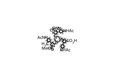 COC(=O)c1cc(-c2ccc(NC(C)=O)cc2C)cc(CN2CCN(Cc3cc(-c4ccc(NC(C)=O)cc4)cc(C(=O)O)n3)CCN(Cc3cc(-c4ccc(NC(C)=O)cc4C)cc(C(=O)OC)n3)CC2)n1